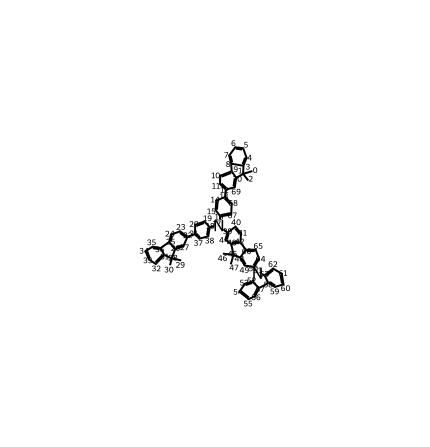 CC1(C)c2ccccc2-c2ccc(-c3ccc(N(c4ccc(-c5ccc6c(c5)C(C)(C)c5ccccc5-6)cc4)c4ccc5c(c4)C(C)(C)c4cc(-n6c7ccccc7c7ccccc76)ccc4-5)cc3)cc21